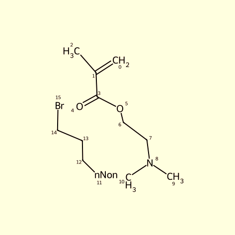 C=C(C)C(=O)OCCN(C)C.CCCCCCCCCCCCBr